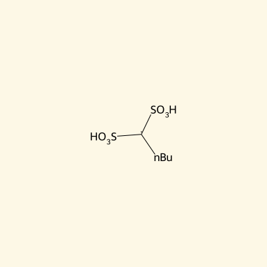 CCCC[C](S(=O)(=O)O)S(=O)(=O)O